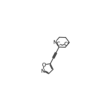 C(#CC1CC2CCCN1CC2)c1ccno1